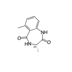 Cc1cccc2c1C(=O)N[C@@H](C)C(=O)N2